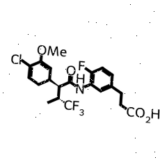 COC1=CC([C@@H](C(=O)Nc2cc(CCC(=O)O)ccc2F)[C@@H](C)C(F)(F)F)CC=C1Cl